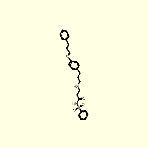 O=C(CCNCCCc1ccc(OCCCc2ccccc2)cc1)NS(=O)(=O)c1ccccc1